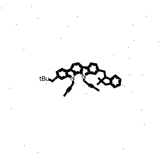 CC#CCn1c2cc(CC3c4ccccc4CC3(C)C)ccc2c2ccc3c4ccc(CC(C)(C)C)cc4n(CC#CC)c3c21